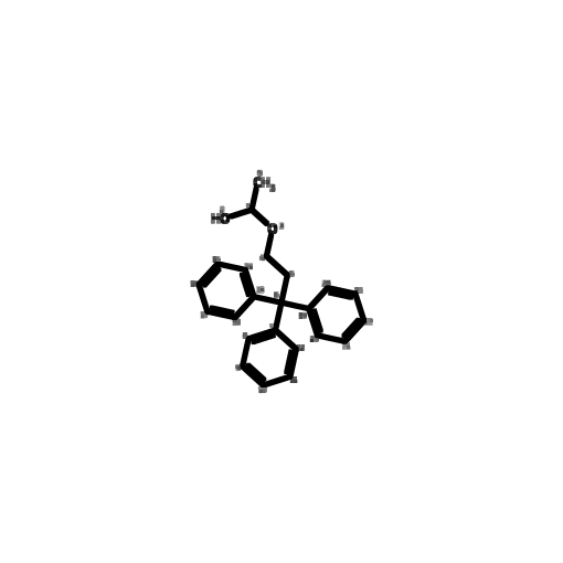 CC(O)OCCC(c1ccccc1)(c1ccccc1)c1ccccc1